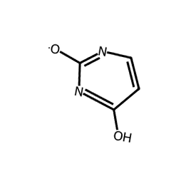 [O]c1nccc(O)n1